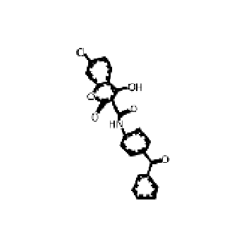 O=C(c1ccccc1)c1ccc(NC(=O)c2c(O)c3ccc(Cl)cc3oc2=O)cc1